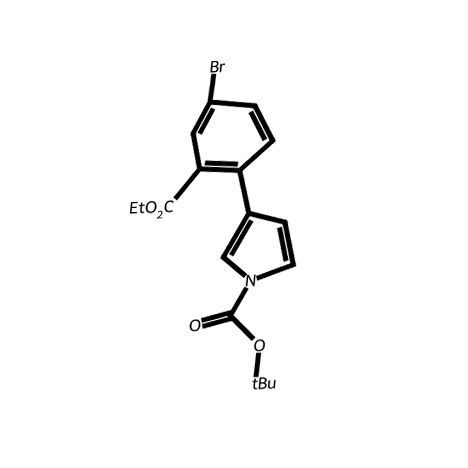 CCOC(=O)c1cc(Br)ccc1-c1ccn(C(=O)OC(C)(C)C)c1